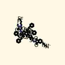 C/C=C1/C(=O)/C(=C/C2=CC3=C(c4sc5c(sc6cc(/C=C7\C(=O)C8=CC[C@@H](CN=[N+]=[N-])C=C8C7=O)sc65)c4C3(C(=O)OCc3ccccc3)C(=O)OCc3ccccc3)C2(C(=O)OCc2ccccc2)C(=O)OCc2ccccc2)C(=O)/C1=C/CCC(F)(F)F